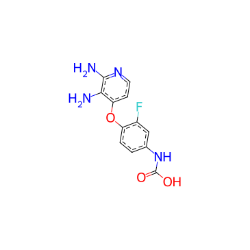 Nc1nccc(Oc2ccc(NC(=O)O)cc2F)c1N